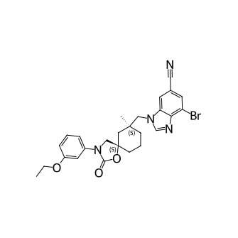 CCOc1cccc(N2C[C@@]3(CCC[C@](C)(Cn4cnc5c(Br)cc(C#N)cc54)C3)OC2=O)c1